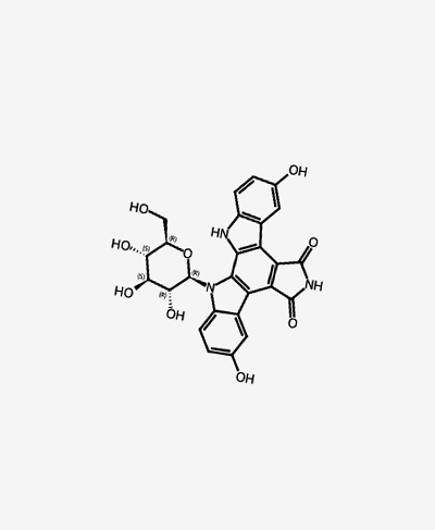 O=C1NC(=O)c2c1c1c3cc(O)ccc3[nH]c1c1c2c2cc(O)ccc2n1[C@@H]1O[C@H](CO)[C@@H](O)[C@H](O)[C@H]1O